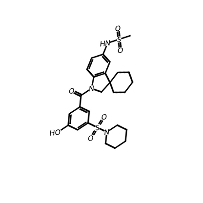 CS(=O)(=O)Nc1ccc2c(c1)C1(CCCCC1)CN2C(=O)c1cc(O)cc(S(=O)(=O)N2CCCCC2)c1